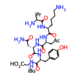 CC[C@H](C)[C@H](NC(=O)[C@H](Cc1ccc(O)cc1)NC(=O)[C@H](CC(N)=O)NC(=O)[C@H](CC(C)=O)NC(=O)[C@H](CCCCN)NC(=O)[C@@H](N)C(C)C)C(=O)O